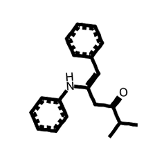 CC(C)C(=O)CC(=Cc1ccccc1)Nc1ccccc1